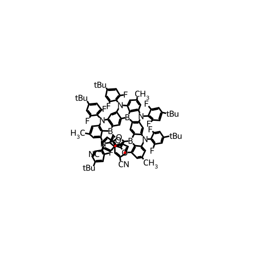 Cc1cc2c3c(c1)N(c1c(F)cc(C(C)(C)C)cc1F)c1cc4c(cc1B3c1oc3ccc(C#N)cc3c1O2)B1c2cc3c(cc2N(c2c(F)cc(C(C)(C)C)cc2F)c2cc(C)cc(c21)N4c1c(F)cc(C(C)(C)C)cc1F)N(c1c(F)cc(C(C)(C)C)cc1F)c1cc(C)cc2c1B3c1oc3ccc(C#N)cc3c1N2c1ccc(C(C)(C)C)cc1F